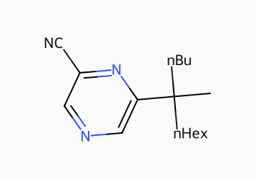 CCCCCCC(C)(CCCC)c1cncc(C#N)n1